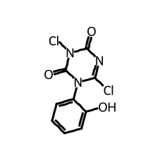 O=c1nc(Cl)n(-c2ccccc2O)c(=O)n1Cl